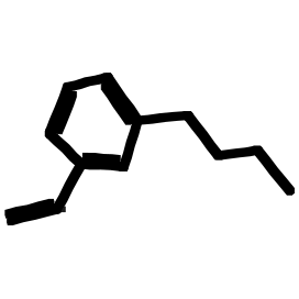 C=[C]c1cccc(CCCC)c1